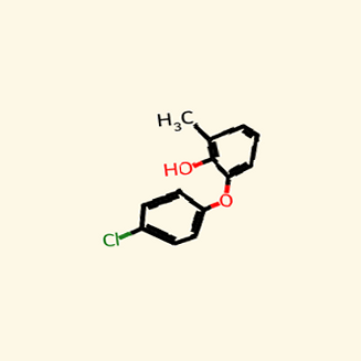 Cc1cccc(Oc2ccc(Cl)cc2)c1O